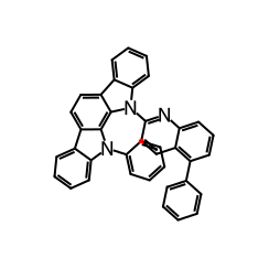 c1ccc(-c2cccc3nc(-n4c5ccccc5c5ccc6c7ccccc7n(-c7ccccc7)c6c54)ccc23)cc1